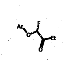 CCC(=O)C(F)OC(C)=O